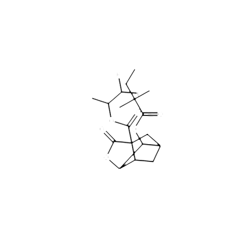 CCC(C)(C)C(=O)OC1C2CC3C1OC(=O)C3(C(=O)OC(C)C(F)F)C2